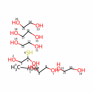 CCCCCCCCCCC.OCC(O)S.OCCO.OCCO.OCCO.OCCO.OCCO